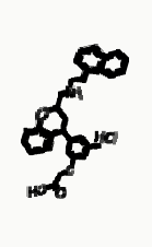 Cc1cc(OCC(=O)O)cc(C2CC(CNCCc3cccc4ccccc34)Oc3ccccc32)c1.Cl